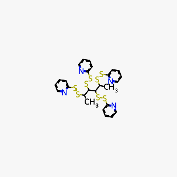 CC(SSc1ccccn1)C(SSc1ccccn1)C(SSc1ccccn1)C(C)SSc1ccccn1